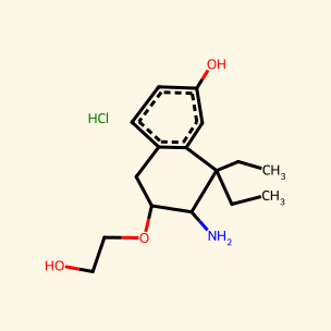 CCC1(CC)c2cc(O)ccc2CC(OCCO)C1N.Cl